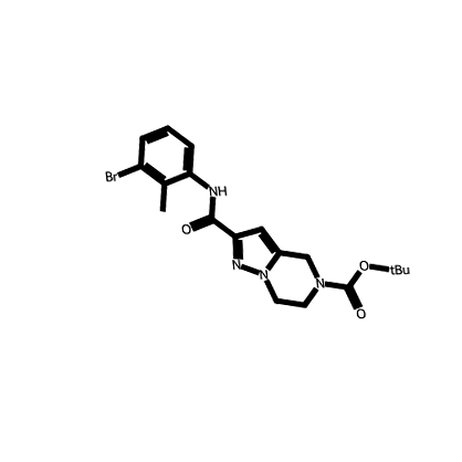 Cc1c(Br)cccc1NC(=O)c1cc2n(n1)CCN(C(=O)OC(C)(C)C)C2